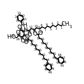 CCCCCCCCCCCC(CC(=O)N[C@H]1[C@H](OCc2ccccc2)O[C@H](CO)[C@@H](O)[C@@H]1OC(=O)CCCCCCCCCc1ccccc1)OC(=O)CCCCCCCCCc1ccccc1